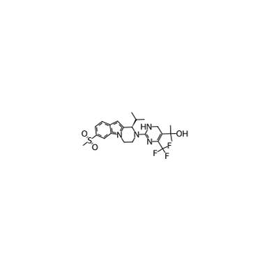 CC(C)[C@@H]1c2cc3ccc(S(C)(=O)=O)cc3n2CCN1C1=NC(C(F)(F)F)=C(C(C)(C)O)CN1